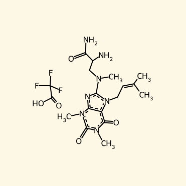 CC(C)=CCn1c(N(C)CC(N)C(N)=O)nc2c1c(=O)n(C)c(=O)n2C.O=C(O)C(F)(F)F